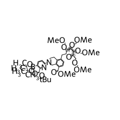 COCOC[C@H]1OC(Cc2ccc(C(=O)OC)c3c2CCN(c2ccc(B4OC(C)(C)C(C)(C)O4)c(C(=O)OC(C)(C)C)n2)C3)[C@H](OCOC)[C@@H](OCOC)[C@@H]1OCOC